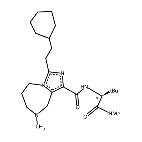 CNC(=O)[C@@H](NC(=O)c1nc(CCC2CCCCC2)n2c1CN(C)CCC2)C(C)(C)C